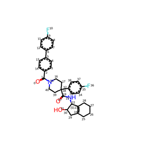 O=C(c1ccc(-c2ccc(F)cc2)cc1)N1CCC(C(=O)N[C@H]2C3=C(CCCC3)CC2O)(c2ccc(F)cc2)CC1